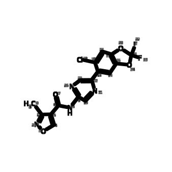 Cc1nocc1C(=O)Nc1cnc(-c2cc3c(cc2Cl)OC(F)(F)O3)cn1